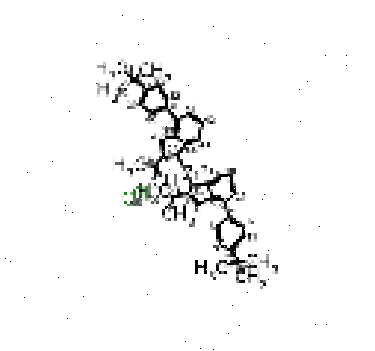 CC(C)C1=Cc2c(-c3ccc(C(C)(C)C)cc3)cccc2[CH]1[Zr+2][CH]1C(C(C)C)=Cc2c(-c3ccc(C(C)(C)C)cc3)cccc21.[Cl-].[Cl-]